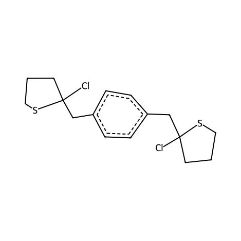 ClC1(Cc2ccc(CC3(Cl)CCCS3)cc2)CCCS1